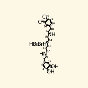 Br.Br.Oc1ccc(CCNCCCCCCNCCc2ccc(Cl)c(Cl)c2)cc1O